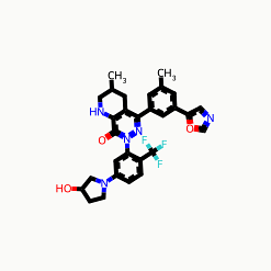 Cc1cc(-c2cnco2)cc(-c2nn(-c3cc(N4CCC(O)C4)ccc3C(F)(F)F)c(=O)c3c2CC(C)CN3)c1